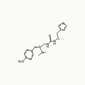 CC(=O)Oc1ccc(C[C@@H](CNC(=O)N[C@@H](C)Cc2ccsc2)N(C)C)cc1